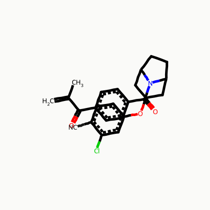 C=C(C)C(=O)c1ccc(C(=O)N2C3CCC2CC(Oc2ccc(C#N)c(Cl)c2)C3)cc1